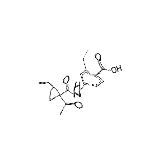 C=CC1CC1(C(C)=O)C(=O)Nc1ccc(C(=O)O)c(CC)c1